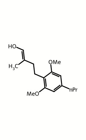 CCCc1cc(OC)c(CC/C(C)=C/O)c(OC)c1